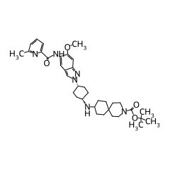 COc1cc2nn([C@H]3CC[C@H](NC4CCC5(CC4)CCN(C(=O)OC(C)(C)C)CC5)CC3)cc2cc1NC(=O)c1cccc(C)n1